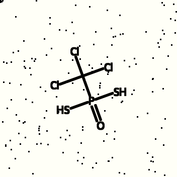 O=P(S)(S)C(Cl)(Cl)Cl